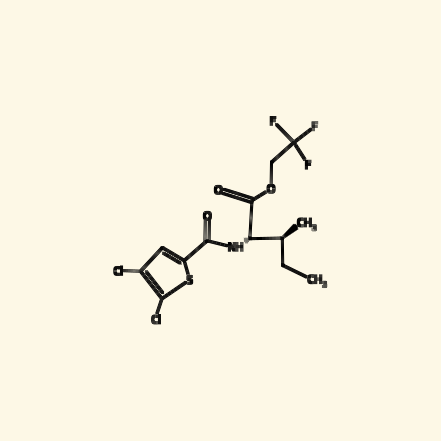 CC[C@H](C)[C@H](NC(=O)c1cc(Cl)c(Cl)s1)C(=O)OCC(F)(F)F